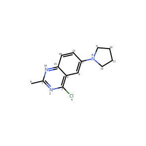 Cc1nc(Cl)c2cc(N3CCCC3)ccc2n1